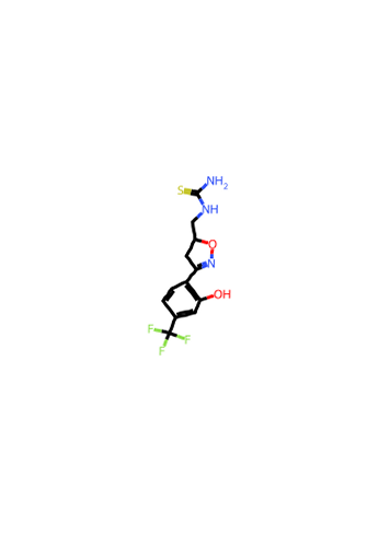 NC(=S)NCC1CC(c2ccc(C(F)(F)F)cc2O)=NO1